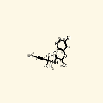 CCCC#CC(C)(C)NC(=O)C(CC)Oc1cncc(Cl)c1